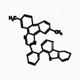 Cc1ccc2c3ccc(C)cc3c3nc(-c4ccccc4-c4cccc5c6c(sc45)C=CCC6)cnc3c2c1